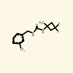 CC1(NC(=O)NCc2cccc(C(F)(F)F)c2)CC(F)(F)C1